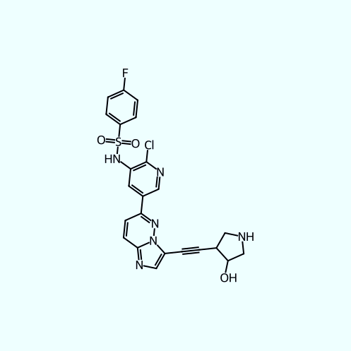 O=S(=O)(Nc1cc(-c2ccc3ncc(C#CC4CNCC4O)n3n2)cnc1Cl)c1ccc(F)cc1